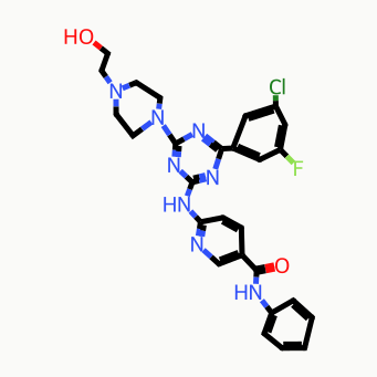 O=C(Nc1ccccc1)c1ccc(Nc2nc(-c3cc(F)cc(Cl)c3)nc(N3CCN(CCO)CC3)n2)nc1